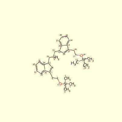 C[Si](C)(C)OCCC1=CC(C[SiH2]CC2C=C(CCO[Si](C)(C)C)c3ccccc32)c2ccccc21